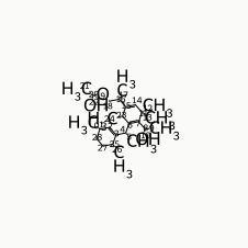 CC1C=C(C(C)C2=C(C(C)O)C(C)(C)C=C(C(C)COC(C)O)C2C)C(C)CC1